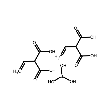 C=CC(C(=O)O)C(=O)O.C=CC(C(=O)O)C(=O)O.OB(O)O